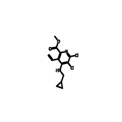 C=Cc1c(C(=O)OC)nc(Cl)c(Cl)c1NCC1CC1